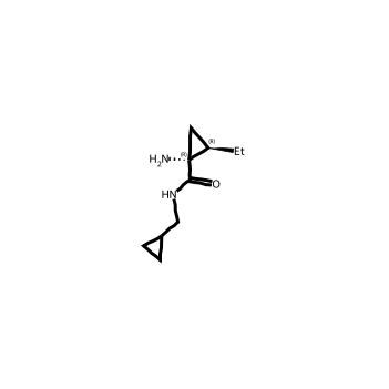 CC[C@@H]1C[C@]1(N)C(=O)NCC1CC1